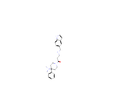 CN(C)C1(c2ccccc2)CCN(C(=O)CCNCc2ccc3[nH]ccc3c2)CC1